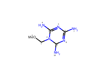 COCN1C(N)=NC(N)=NC1N